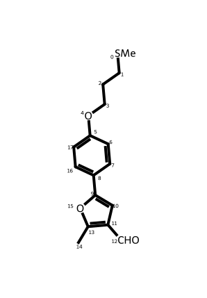 CSCCCOc1ccc(-c2cc(C=O)c(C)o2)cc1